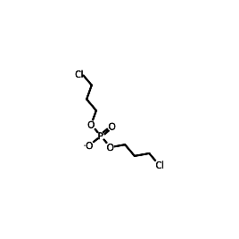 [O]P(=O)(OCCCCl)OCCCCl